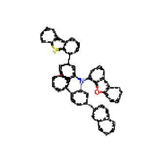 c1ccc(-c2ccc(-c3ccc4ccccc4c3)cc2N(c2cccc(-c3cccc4c3sc3ccccc34)c2)c2cccc3c2oc2ccccc23)cc1